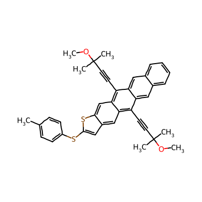 COC(C)(C)C#Cc1c2cc3ccccc3cc2c(C#CC(C)(C)OC)c2cc3sc(Sc4ccc(C)cc4)cc3cc12